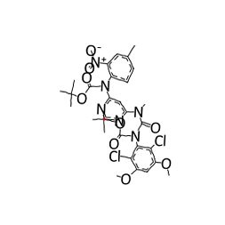 COc1cc(OC)c(Cl)c(N(C(=O)OC(C)(C)C)C(=O)N(C)c2cc(N(C(=O)OC(C)(C)C)c3ccc(C)cc3[N+](=O)[O-])ncn2)c1Cl